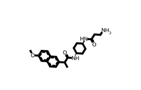 COc1ccc2cc(C(C)C(=O)N[C@H]3CC[C@H](NC(=O)CCN)CC3)ccc2c1